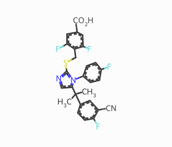 CC(C)(c1ccc(F)c(C#N)c1)c1cnc(SCc2c(F)cc(C(=O)O)cc2F)n1-c1ccc(F)cc1